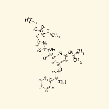 CCOP(=O)(Cc1csc(NC(=O)c2cc(OCC(O)c3ccccc3)cc(OC(C)C)c2)n1)OCC